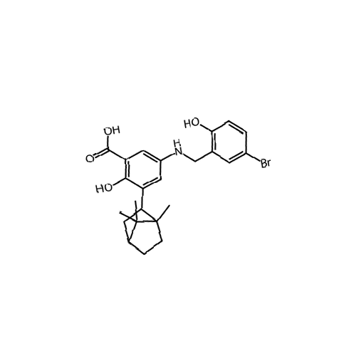 CC1(C)C2CCC1(C)C(c1cc(NCc3cc(Br)ccc3O)cc(C(=O)O)c1O)C2